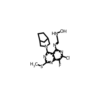 CSc1nc(N2CC3CCC(C3)C2)c2c(/N=C/NO)nc(Cl)c(F)c2n1